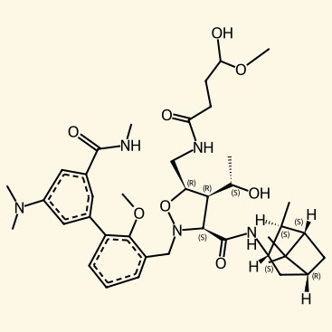 CNC(=O)c1cc(-c2cccc(CN3O[C@@H](CNC(=O)CCC(O)OC)[C@@H]([C@H](C)O)[C@H]3C(=O)N[C@H]3C[C@H]4C[C@@H]([C@@H]3C)C4(C)C)c2OC)cc(N(C)C)c1